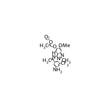 COc1cc2nc(C)nc(N[C@H](C)c3cc(N)cc(C(F)(F)F)c3)c2cc1OC[C@H](C)OC1COC1